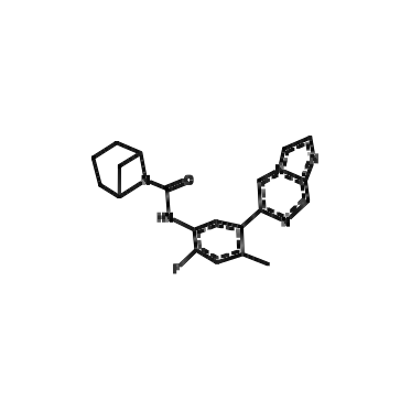 Cc1cc(F)c(NC(=O)N2C3CCCC2C3)cc1-c1cn2ccnc2cn1